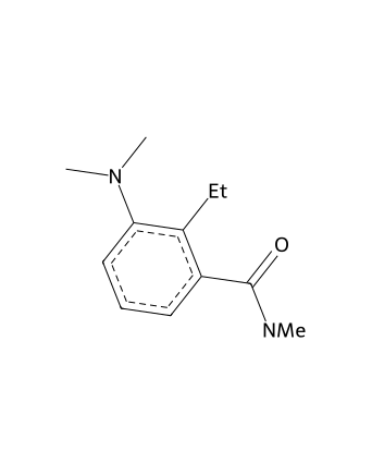 CCc1c(C(=O)NC)cccc1N(C)C